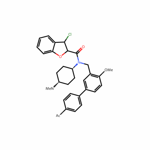 CN[C@H]1CC[C@@H](N(Cc2cc(-c3ccc(C(C)=O)cc3)ccc2OC)C(=O)C2Oc3ccccc3C2Cl)CC1